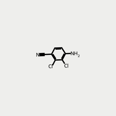 N#Cc1ccc(N)c(Cl)c1Cl